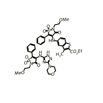 CCOC(=O)c1sc2ccc(NC3=C(c4ccccc4)S(=O)(=O)N(CCOC)C3=O)cc2c1C.COCCN1C(=O)C(Nc2nc(N3CCOCC3)n[nH]2)=C(c2ccccc2)S1(=O)=O